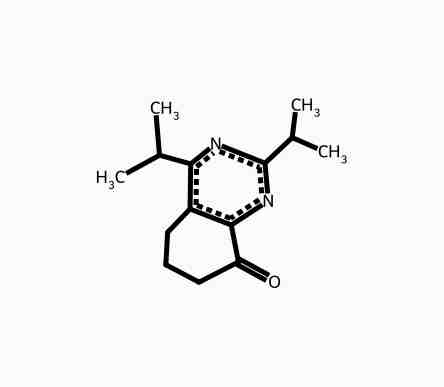 CC(C)c1nc2c(c(C(C)C)n1)CCCC2=O